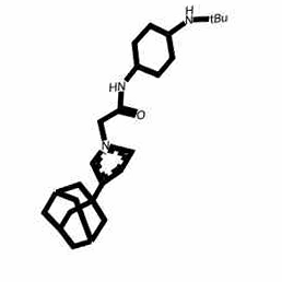 CC(C)(C)NC1CCC(NC(=O)Cn2ccc(C34CC5CC(CC(C5)C3)C4)c2)CC1